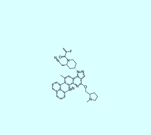 C=C(F)C(=O)N1CC[C@H](n2ncc3c(OCC4CCCN4C)nc4c(F)c(-c5cccc6cccc(C#N)c56)c(C)cc4c32)C[C@H]1CC#N